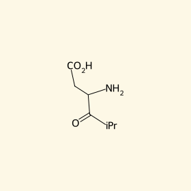 CC(C)C(=O)C(N)CC(=O)O